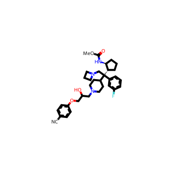 COC(=O)N[C@H]1CCC[C@@H]1C(CN1CCC1)(c1cccc(F)c1)C1CCN(CC(O)COc2ccc(C#N)cc2)CC1